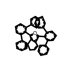 c1cccc(-c2cccc(-c3ccccc3)c2-c2oc(-c3c(-c4ccccc4)cccc3-c3ccccc3)c3c2CCC=C3)c#1